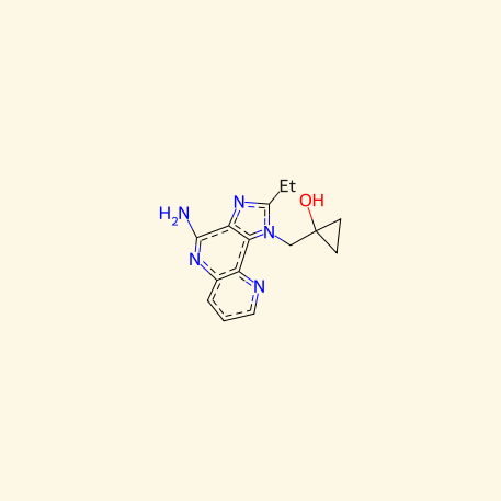 CCc1nc2c(N)nc3cccnc3c2n1CC1(O)CC1